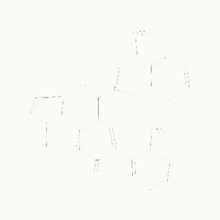 COCCN(Cc1ccccc1)C(=O)c1cc(-c2ccccc2OC)c(=O)n2ccc3ccsc3c12